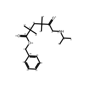 CC(C)NCC(=O)C(C)(C)CC(C)(C)C(=O)OCc1ccccc1